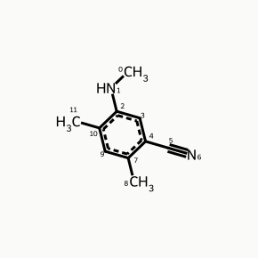 CNc1cc(C#N)c(C)cc1C